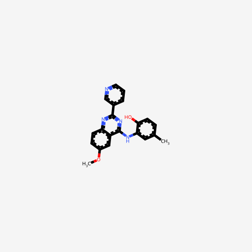 COc1ccc2nc(-c3cccnc3)nc(Nc3cc(C)ccc3O)c2c1